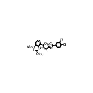 COc1ccnc(C(=O)N[C@@H](C)c2noc(-c3ccc(Cl)c(Cl)c3)n2)c1OC(=O)OCC(C)C